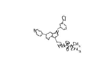 CN(C)S(=O)(=O)NCCc1cn(Cc2cccc(Cl)c2)c2cc(-c3ccncc3)ccc12